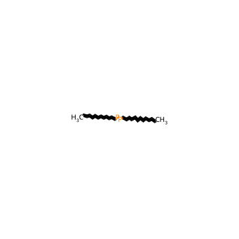 CCCCCCCCCCCCC[P][P]CCCCCCCCCCCCC